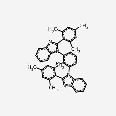 Cc1cc(C)c(-c2nc3ccccc3n2-c2cccc(-n3c(-c4c(C)cc(C)cc4C)nc4ccccc43)c2Cl)c(C)c1